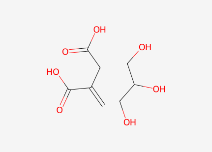 C=C(CC(=O)O)C(=O)O.OCC(O)CO